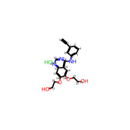 C#Cc1cccc(Nc2ncnc3cc(OCCO)c(OCCO)cc23)c1.Cl